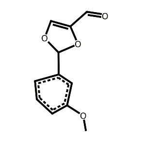 COc1cccc(C2OC=C(C=O)O2)c1